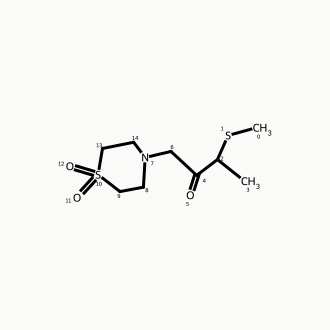 CSC(C)C(=O)CN1CCS(=O)(=O)CC1